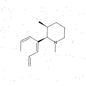 C=C/C=C(\C=C/C)[C@H]1[C@@H](C)CCCN1C